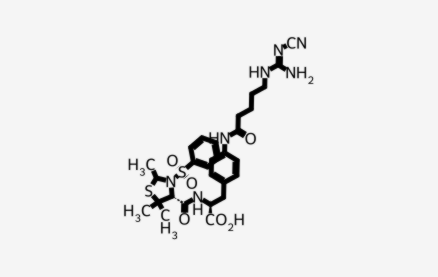 CC1SC(C)(C)[C@@H](C(=O)N[C@@H](Cc2ccc(NC(=O)CCCCN/C(N)=N/C#N)cc2)C(=O)O)N1S(=O)(=O)c1ccccc1